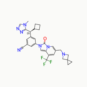 Cn1cnnc1[C@H](c1cc(C#N)cc(-n2cc3c(C(F)(F)F)cc(CN4CC5(CC5)C4)cn3c2=O)c1)C1CCC1